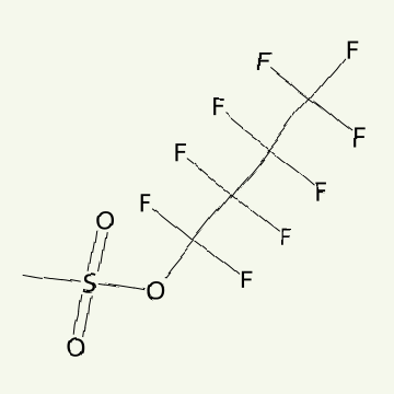 CS(=O)(=O)OC(F)(F)C(F)(F)C(F)(F)C(F)(F)F